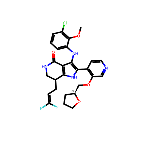 COc1c(Cl)cccc1Nc1c(-c2ccncc2OC[C@@H]2CCCO2)[nH]c2c1C(=O)NCC2CC=C(F)F